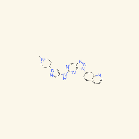 CN1CCC(n2cc(Nc3ncc4nnn(-c5ccc6cccnc6c5)c4n3)cn2)CC1